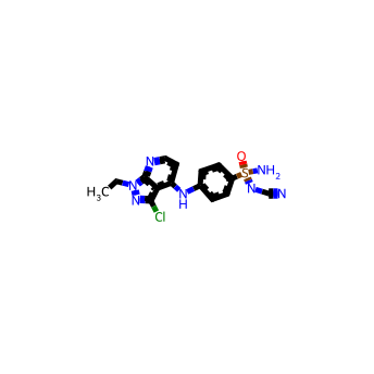 CCn1nc(Cl)c2c(Nc3ccc(S(N)(=O)=NC#N)cc3)ccnc21